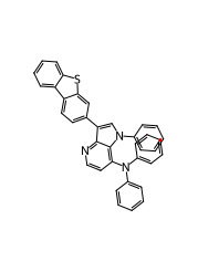 c1ccc(N(c2ccccc2)c2ccnc3c(-c4ccc5c(c4)sc4ccccc45)cn(-c4ccccc4)c23)cc1